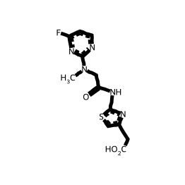 CN(CC(=O)Nc1nc(CC(=O)O)cs1)c1nccc(F)n1